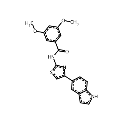 COc1cc(OC)cc(C(=O)Nc2nc(-c3ccc4[nH]ccc4c3)cs2)c1